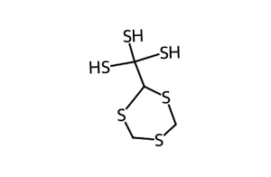 SC(S)(S)C1SCSCS1